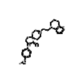 COc1ccc(N2CCC3(CCN(CCC4CCCc5sccc54)CC3)C2=O)cc1